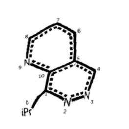 CC(C)c1nncc2cccnc12